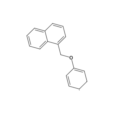 [CH]1C=CC(OCc2cccc3ccccc23)=CC1